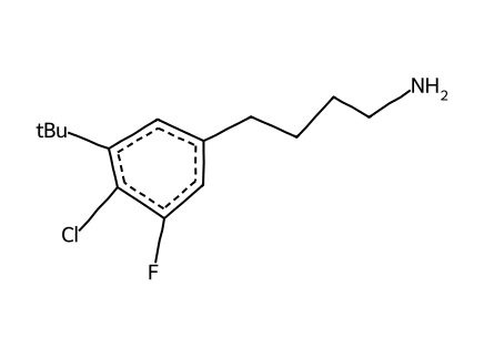 CC(C)(C)c1cc(CCCCN)cc(F)c1Cl